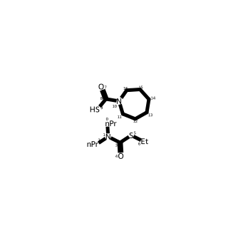 CCCN(CCC)C(=O)SCC.O=C(S)N1CCCCCC1